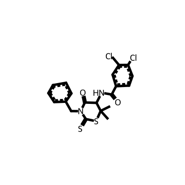 CC1(C)SC(=S)N(Cc2ccccc2)C(=O)C1NC(=O)c1ccc(Cl)c(Cl)c1